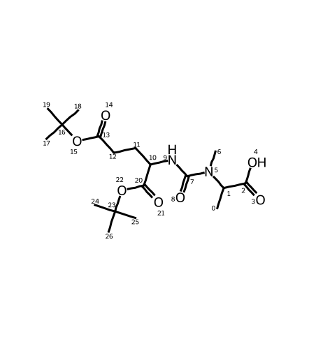 CC(C(=O)O)N(C)C(=O)NC(CCC(=O)OC(C)(C)C)C(=O)OC(C)(C)C